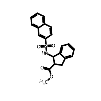 COC(=O)C1Cc2ccccc2C1NS(=O)(=O)c1ccc2ccccc2c1